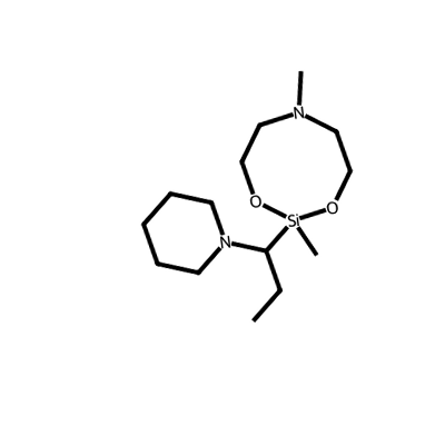 CCC(N1CCCCC1)[Si]1(C)OCCN(C)CCO1